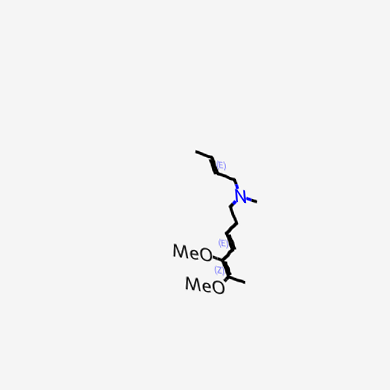 C/C=C/CN(C)CC/C=C/C(OC)=C(\C)OC